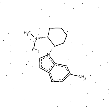 CN(C)[C@@H]1CCCC[C@@H]1n1ccc2ccc(N)cc21